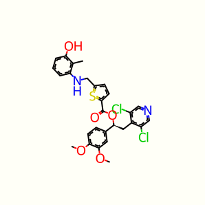 COc1ccc([C@H](Cc2c(Cl)cncc2Cl)OC(=O)c2ccc(CNc3cccc(O)c3C)s2)cc1OC